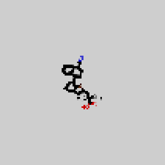 CC(C)(Cc1cc2cccc(-c3ccc(C#N)c4ccccc34)c2s1)C(=O)O